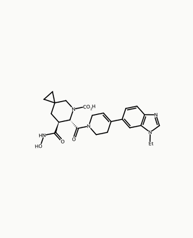 CCn1cnc2ccc(C3=CCN(C(=O)[C@@H]4[C@@H](C(=O)NO)CC5(CC5)CN4C(=O)O)CC3)cc21